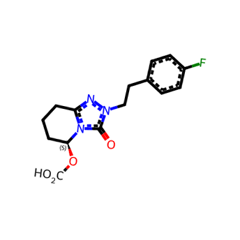 O=C(O)O[C@H]1CCCc2nn(CCc3ccc(F)cc3)c(=O)n21